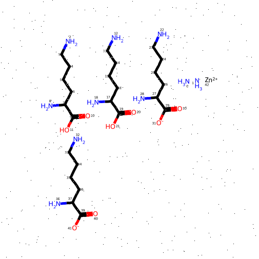 N.N.NCCCCC(N)C(=O)O.NCCCCC(N)C(=O)O.NCCCCC(N)C(=O)[O-].NCCCCC(N)C(=O)[O-].[Zn+2]